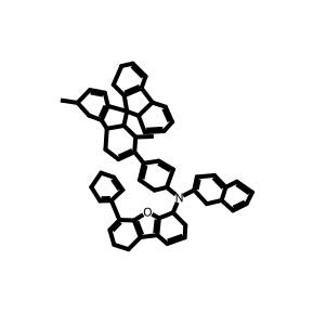 CC1C=CC2=C(C1)C1CC=C(C3=CCC(N(C4=CC=C5C=CC=CC5C4)C4CC=Cc5c4oc4c5CCC=C4C4=CCCC=C4)C=C3)C(C)C1C21C2=C(C=CCC2)C2C=CC=CC21